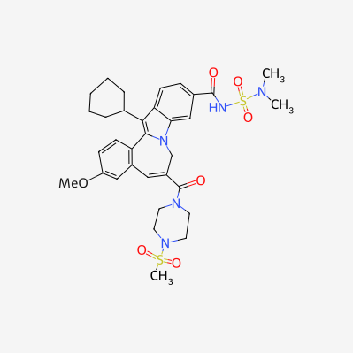 COc1ccc2c(c1)C=C(C(=O)N1CCN(S(C)(=O)=O)CC1)Cn1c-2c(C2CCCCC2)c2ccc(C(=O)NS(=O)(=O)N(C)C)cc21